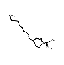 CCCCCCCCN1CCN(C(C)C)CC1